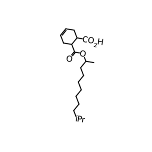 CC(C)CCCCCCCC(C)OC(=O)C1CC=CCC1C(=O)O